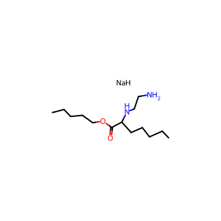 CCCCCOC(=O)C(CCCCC)NCCN.[NaH]